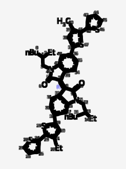 CCCCC(CC)CN1C(=O)/C(=C2/C(=O)N(CC(CC)CCCC)c3cc(-c4cc(CC)c(-c5cccs5)s4)ccc32)c2ccc(-c3cc(C)c(-c4cccs4)s3)cc21